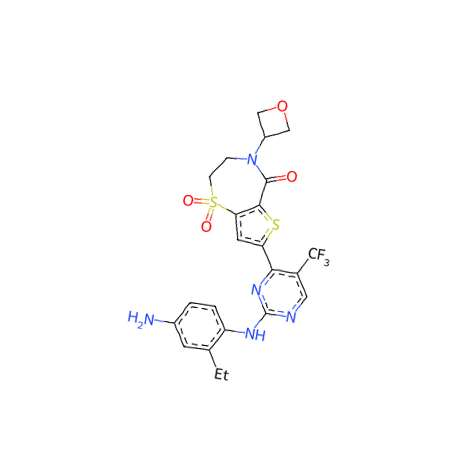 CCc1cc(N)ccc1Nc1ncc(C(F)(F)F)c(-c2cc3c(s2)C(=O)N(C2COC2)CCS3(=O)=O)n1